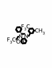 Cc1cc(CN2C[C@@H](c3ccccc3)N(C[C@@H](O)C(F)(F)F)c3ccccc32)cc(C(F)(F)F)c1